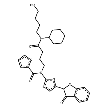 O=C1c2ccccc2OC1c1csc(N(CCCC(=O)N(CCCCO)C2CCCCC2)C(=O)c2cccs2)n1